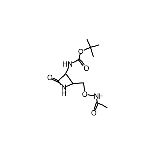 CC(=O)NOCC1NC(=O)C1NC(=O)OC(C)(C)C